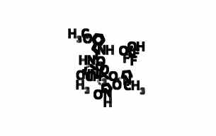 COc1cccc2[nH]c(C(=O)N[C@@H](CC(C)C)C(=O)N[C@@H](C[C@@H]3CCNC3=O)C(=O)COC(=O)[C@@H]3CCCN3C)cc12.O=C(O)C(F)(F)F